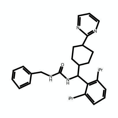 CC(C)c1cccc(C(C)C)c1C(NC(=O)NCc1ccccc1)C1CCC(c2ncccn2)CC1